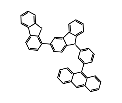 c1cc(-c2c3ccccc3cc3ccccc23)cc(-n2c3ccccc3c3cc(-c4cccc5c4sc4ccccc45)ccc32)c1